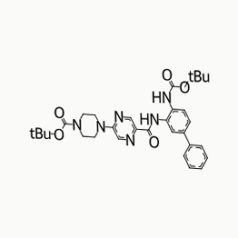 CC(C)(C)OC(=O)Nc1ccc(-c2ccccc2)cc1NC(=O)c1cnc(N2CCN(C(=O)OC(C)(C)C)CC2)cn1